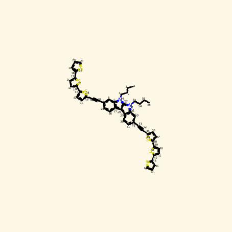 CCCCn1c2cc(C#Cc3ccc(-c4ccc(-c5cccs5)s4)s3)ccc2c2c3ccc(C#Cc4ccc(-c5ccc(-c6cccs6)s5)s4)cc3n(CCCC)c21